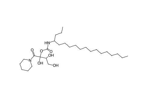 CCCCCCCCCCCCCCC(CCC)NC(=O)OC(O)(C(=O)N1CCCCC1)C(O)CO